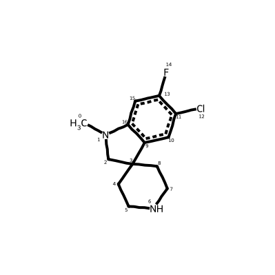 CN1CC2(CCNCC2)c2cc(Cl)c(F)cc21